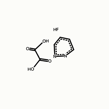 F.O=C(O)C(=O)O.c1ccnnc1